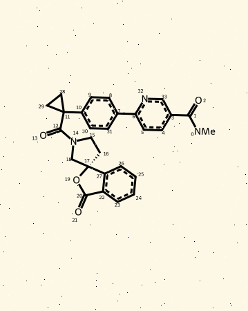 CNC(=O)c1ccc(-c2ccc(C3(C(=O)N4CC[C@@]5(C4)OC(=O)c4ccccc45)CC3)cc2)nc1